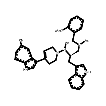 COc1ccccc1CN(C[C@@H](Cc1c[nH]c2ccccc12)N(C(C)=O)N1CC=C(c2c[nH]c3ccc(C#N)cc23)CC1)C(C)=O